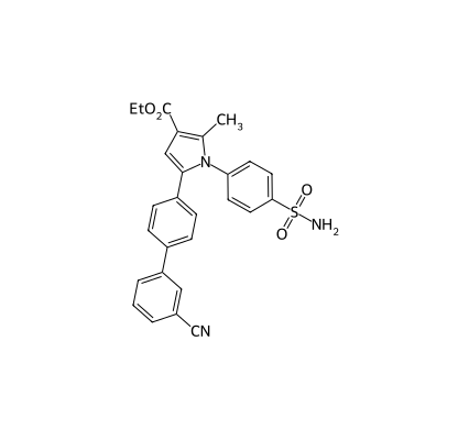 CCOC(=O)c1cc(-c2ccc(-c3cccc(C#N)c3)cc2)n(-c2ccc(S(N)(=O)=O)cc2)c1C